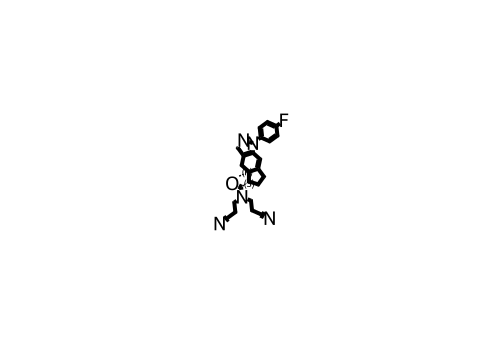 C[C@]12Cc3cnn(-c4ccc(F)cc4)c3C=C1CC[C@@H]2C(=O)N(CCC#N)CCC#N